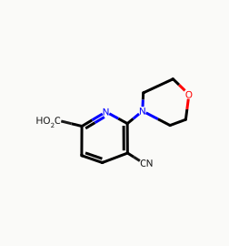 N#Cc1ccc(C(=O)O)nc1N1CCOCC1